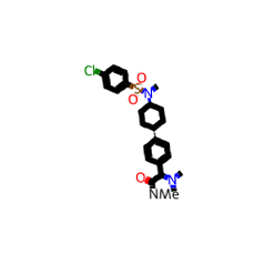 CNC(=O)C(c1ccc([C@H]2CC[C@H](N(C)S(=O)(=O)c3ccc(Cl)cc3)CC2)cc1)N(C)C